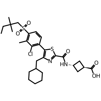 CCC(C)(C)CS(=O)(=O)c1ccc(-c2sc(C(=O)N[C@H]3C[C@H](C(=O)O)C3)nc2CC2CCCCC2)c(Cl)c1C